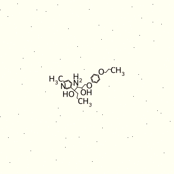 CCCOc1ccc(OCC(O)C(N)C(O)(CCC)c2ccc(C)nc2)cc1